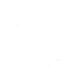 CCCCN(CCCC)c1ccc(/C=C/c2ccc(/C=C/C=C/C(C)=C(\C#N)C(OC)=C(C#N)C#N)s2)c(OC)c1